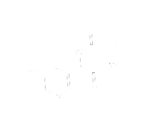 COC(=O)C(NC(=O)OC(C)(C)C)c1cncc(Br)c1